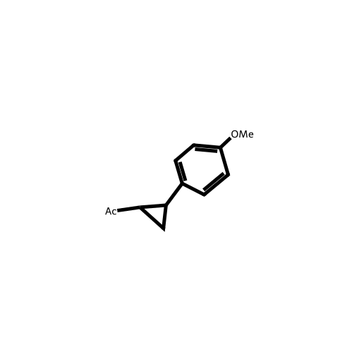 COc1ccc(C2CC2C(C)=O)cc1